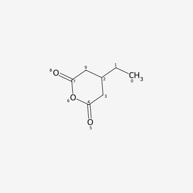 CCC1CC(=O)OC(=O)C1